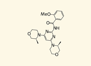 COc1ccccc1C(=O)Nc1nc(N2CCOC[C@@H]2C)cc(N2CCOC[C@@H]2C)n1